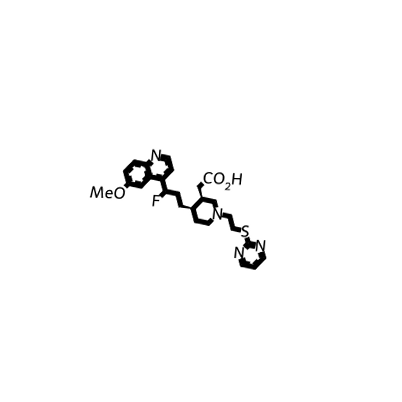 COc1ccc2nccc(C(F)CC[C@@H]3CCN(CCSc4ncccn4)C[C@@H]3CC(=O)O)c2c1